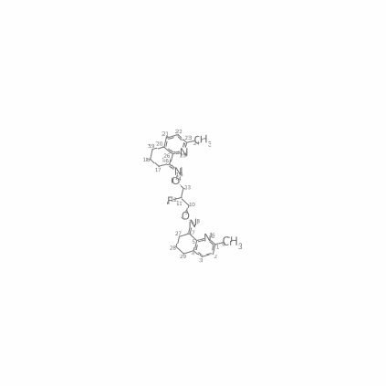 Cc1ccc2c(n1)/C(=N/OCC(F)CO/N=C1\CCCc3ccc(C)nc31)CCC2